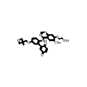 COCCOc1cc2ncnc(Nc3ccc(OCC4(C)COC4)cc3C3=CC(=O)C=CC3=O)c2cc1OC